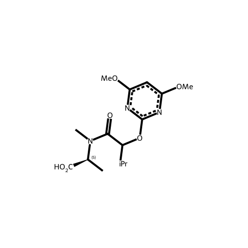 COc1cc(OC)nc(OC(C(=O)N(C)[C@@H](C)C(=O)O)C(C)C)n1